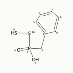 O=P(O)(Cc1ccccc1)SS